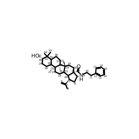 C=C(C)[C@@H]1CC[C@]2(C(=O)NCCc3ccccc3)CC[C@]3(C)C(CCC4[C@@]5(C)CC[C@H](O)C(C)(C)C5CC[C@]43C)C12